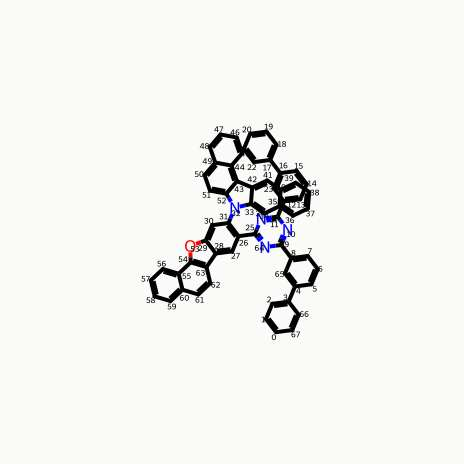 c1ccc(-c2cccc(-c3nc(-c4cccc(-c5ccccc5)c4)nc(-c4cc5c(cc4-n4c6cc7ccccc7cc6c6c7ccccc7ccc64)oc4c6ccccc6ccc54)n3)c2)cc1